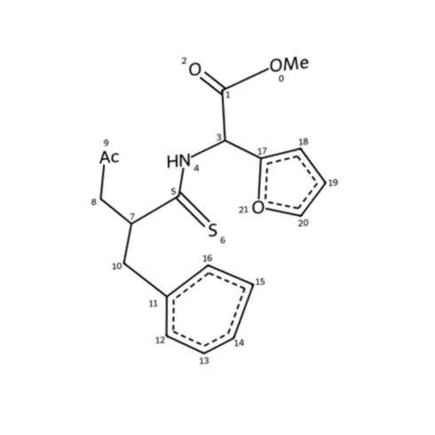 COC(=O)C(NC(=S)C(CC(C)=O)Cc1ccccc1)c1ccco1